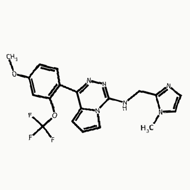 COc1ccc(-c2nnc(NCc3nccn3C)n3cccc23)c(OC(F)(F)F)c1